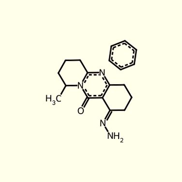 CC1CCCc2nc3c(c(=O)n21)C(=NN)CCC3.c1ccccc1